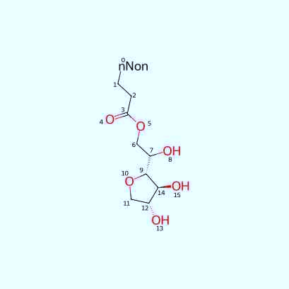 CCCCCCCCCCCC(=O)OCC(O)[C@H]1OC[C@@H](O)[C@@H]1O